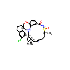 CO[C@H]1/C=C/CC[C@@H](C)/[SH](=O)=N\C(=O)c2ccc3c(c2)N(C[C@@H]2CC[C@H]21)C[C@@]1(CCCc2cc(Cl)ccc21)CO3